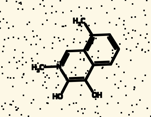 Cc1cccc2c(O)c(O)[n+](C)cc12